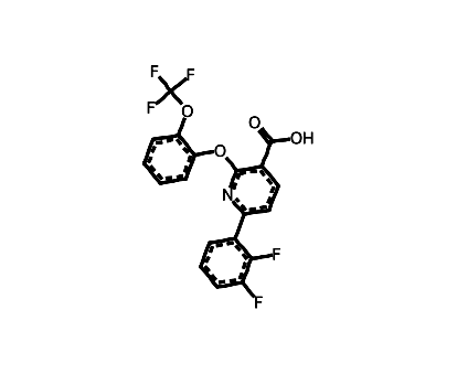 O=C(O)c1ccc(-c2cccc(F)c2F)nc1Oc1ccccc1OC(F)(F)F